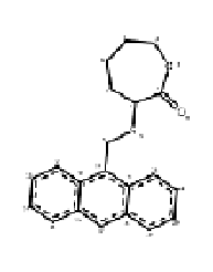 O=C1OCCCCC1SCc1c2ccccc2cc2ccccc12